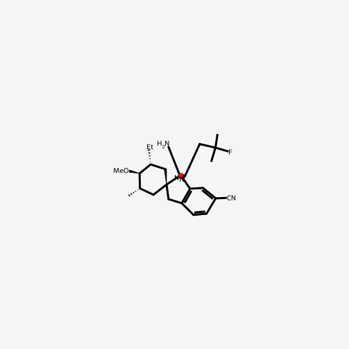 CC[C@@H]1C[C@@]2(Cc3ccc(C#N)cc3[C@]23N=C(N)C(CC(C)(C)F)=N3)C[C@H](C)[C@H]1OC